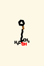 CC(C)(O)CCCCCSc1ccccc1